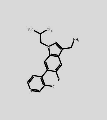 NCc1cn(CC(C(F)(F)F)C(F)(F)F)c2cc(-c3ccncc3Cl)c(F)cc12